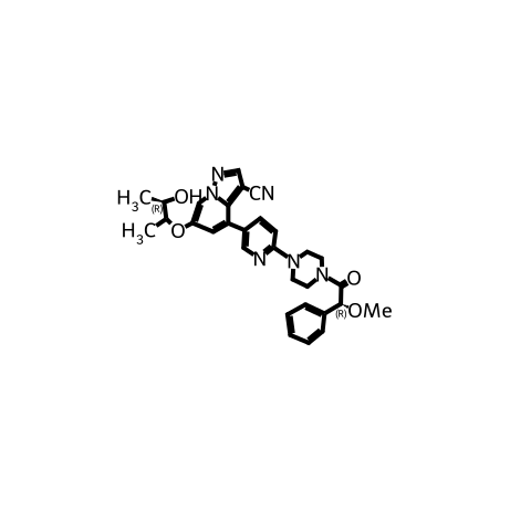 CO[C@@H](C(=O)N1CCN(c2ccc(-c3cc(OC(C)[C@@H](C)O)cn4ncc(C#N)c34)cn2)CC1)c1ccccc1